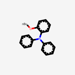 CCCCOc1ccccc1N(c1ccccc1)c1ccccc1